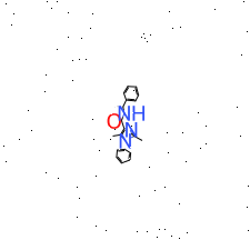 Cc1nc(C(=O)N[C@H](C)c2ccccc2)c(C)n1-c1ccccc1